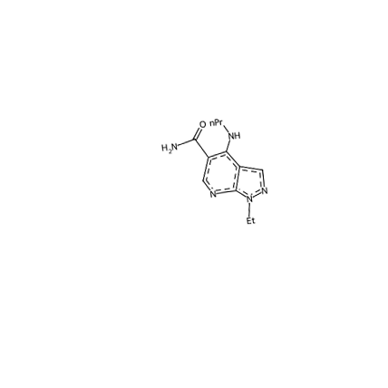 CCCNc1c(C(N)=O)cnc2c1cnn2CC